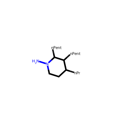 CCCCCC1C(CCC)CCN(N)C1CCCCC